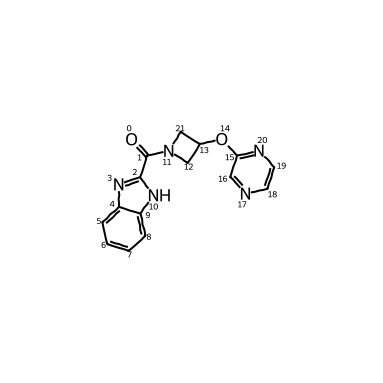 O=C(c1nc2ccccc2[nH]1)N1CC(Oc2cnccn2)C1